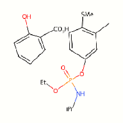 CCOP(=O)(NC(C)C)Oc1ccc(SC)c(C)c1.O=C(O)c1ccccc1O